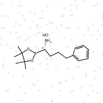 CC1(C)OB([C@H](N)CCCc2ccccc2)OC1(C)C.Cl